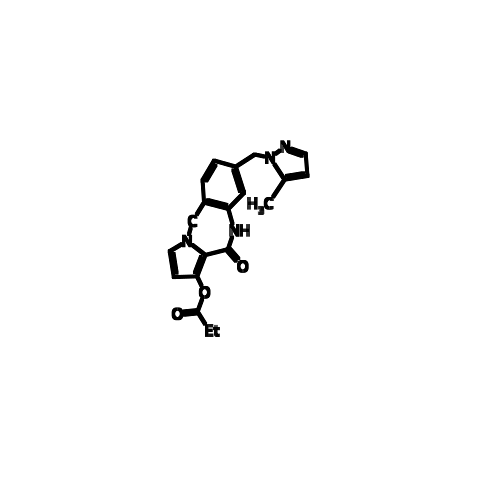 [CH2]CC(=O)Oc1ccn2c1C(=O)Nc1cc(Cn3nccc3C)ccc1C2